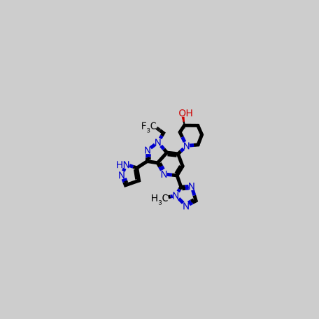 Cn1ncnc1-c1cc(N2CCC[C@H](O)C2)c2c(n1)c(-c1ccn[nH]1)nn2CC(F)(F)F